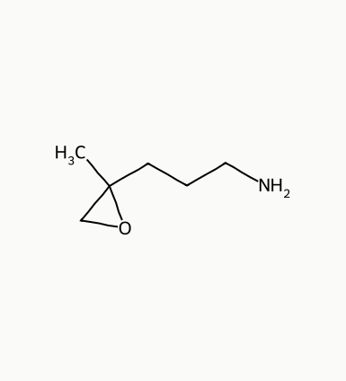 CC1(CCCN)CO1